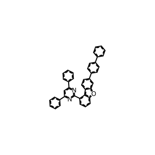 c1ccc(-c2ccc(-c3ccc4c(c3)oc3cccc(-c5nc(-c6ccccc6)cc(-c6ccccc6)n5)c34)cc2)cc1